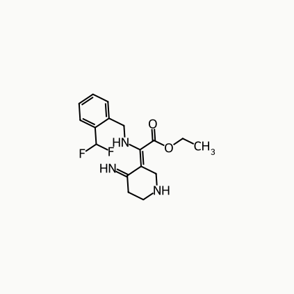 CCOC(=O)/C(NCc1ccccc1C(F)F)=C1\CNCCC1=N